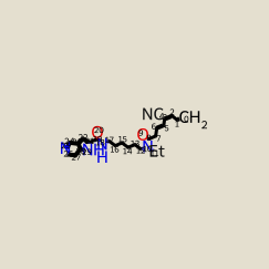 C=C/C=C(C#N)\C=C\CC(=O)N(CC)CCCCCCNC(=O)c1cc2cnccc2[nH]1